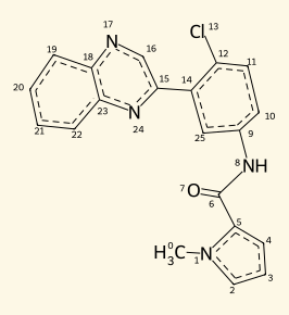 Cn1cccc1C(=O)Nc1ccc(Cl)c(-c2cnc3ccccc3n2)c1